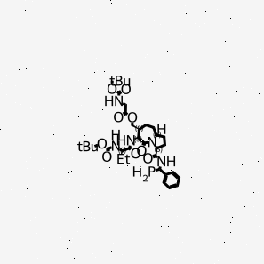 CC[C@H](NC(=O)OC(C)(C)C)C(=O)N[C@@H]1C(=O)N2[C@@H](CC[C@@H]1COC(=O)CNC(=O)OC(C)(C)C)CC[C@H]2C(=O)NC(P)c1ccccc1